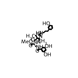 COC(=O)[C@H](CNC(=O)c1cc(O)cc(O)c1)NC(=O)c1c(C)nc(NCCCc2cccc(O)c2)nc1C